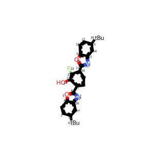 CC(C)(C)c1ccc2oc(-c3ccc(-c4nc5cc(C(C)(C)C)ccc5o4)c(F)c3O)nc2c1